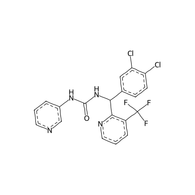 O=C(Nc1cccnc1)NC(c1ccc(Cl)c(Cl)c1)c1ncccc1C(F)(F)F